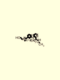 CCONC(=O)c1nnccc1Nc1cccc(-c2ncn(CCO)n2)c1OC